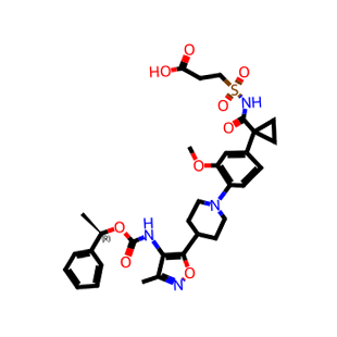 COc1cc(C2(C(=O)NS(=O)(=O)CCC(=O)O)CC2)ccc1N1CCC(c2onc(C)c2NC(=O)O[C@H](C)c2ccccc2)CC1